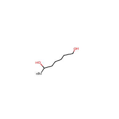 [CH2]CCCC(O)CCCCCO